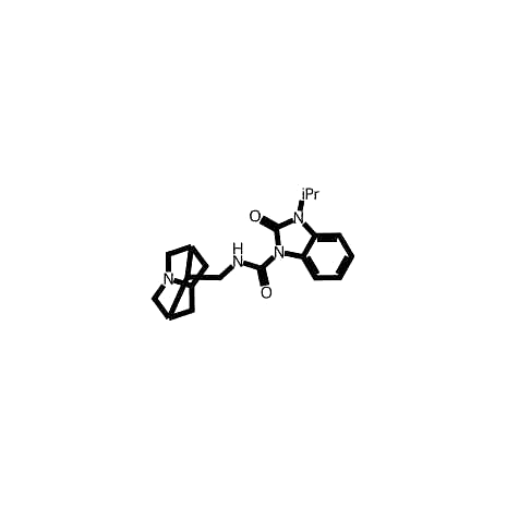 CC(C)n1c(=O)n(C(=O)NCC2C3CC4CC2CN4C3)c2ccccc21